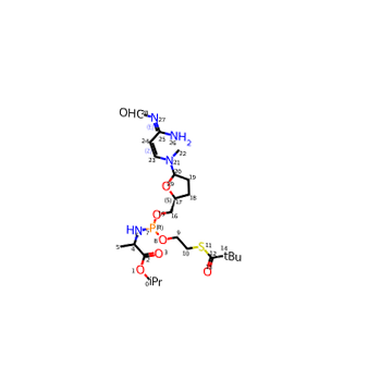 CC(C)OC(=O)C(C)N[P@](OCCSC(=O)C(C)(C)C)OC[C@@H]1CCC(N(C)/C=C\C(N)=N/C=O)O1